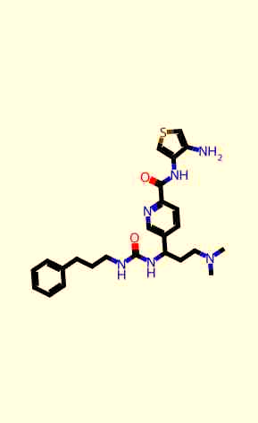 CN(C)CCC(NC(=O)NCCCc1ccccc1)c1ccc(C(=O)Nc2cscc2N)nc1